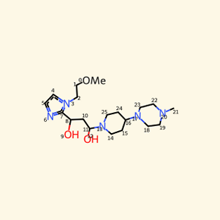 COCCn1ccnc1C(O)CC(O)N1CCC(N2CCN(C)CC2)CC1